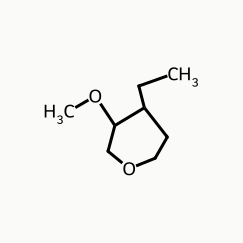 CCC1CCOCC1OC